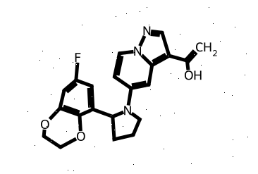 C=C(O)c1cnn2ccc(N3CCCC3c3cc(F)cc4c3OCCO4)cc12